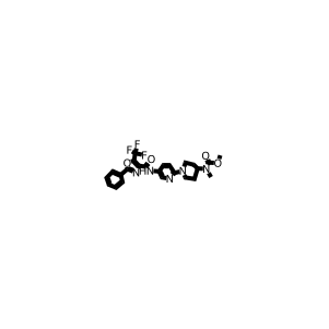 COC(=O)N(C)C1CCN(c2ccc(NC(=O)c3nc(-c4ccccc4)oc3C(F)(F)F)cn2)CC1